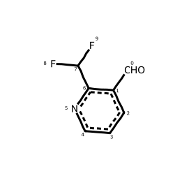 O=Cc1cccnc1C(F)F